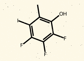 Cc1c(O)c(F)c(F)c(F)c1I